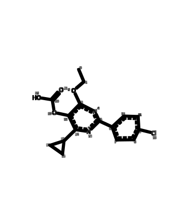 CCOc1nc(-c2ccc(Cl)cc2)nc(C2CC2)c1OC(=O)O